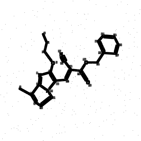 CCCOc1nc2c(C)cccn2c1C=C(C#N)C(=O)OCc1ccccc1